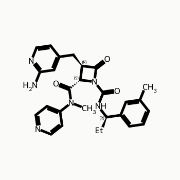 CC[C@@H](NC(=O)N1C(=O)[C@H](Cc2ccnc(N)c2)[C@H]1C(=O)N(C)c1ccncc1)c1cccc(C)c1